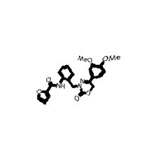 COc1ccc(C2=NN(Cc3ccccc3NC(=O)c3ccco3)C(=O)OC2)cc1OC